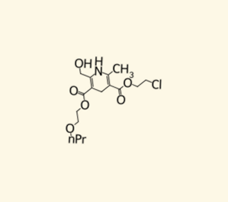 CCCOCCOC(=O)C1=C(CO)NC(C)=C(C(=O)OCCCl)C1